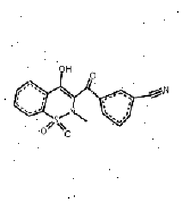 CN1C(C(=O)c2cccc(C#N)c2)=C(O)c2ccccc2S1(=O)=O